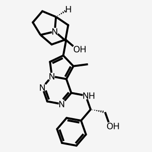 Cc1c(CN2C3CC[C@H]2CC(O)C3)cn2ncnc(N[C@H](CO)c3ccccc3)c12